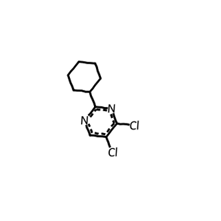 Clc1cnc(C2CCCCC2)nc1Cl